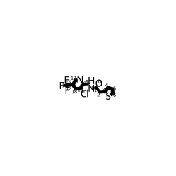 O=C(Cc1cccs1)NCc1ncc(C(F)(F)F)cc1Cl